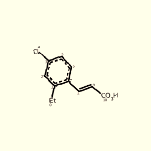 CCc1cc(Cl)ccc1C=CC(=O)O